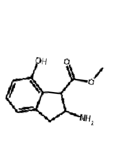 COC(=O)C1c2c(O)cccc2CC1N